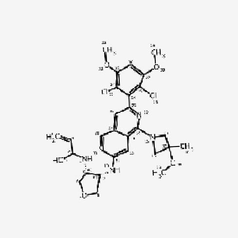 C=CC(O)N[C@H]1COC[C@H]1Nc1cc2c(N3CC(C)(OC)C3)nc(-c3c(Cl)c(OC)cc(OC)c3Cl)cc2cn1